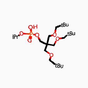 CC(C)OP(=O)(O)OCC(COCC(C)(C)C)(COCC(C)(C)C)COCC(C)(C)C